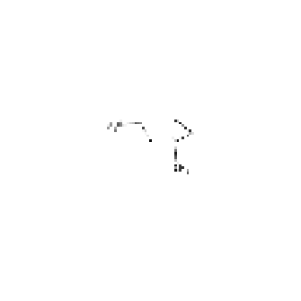 CC1(CCN)CC1